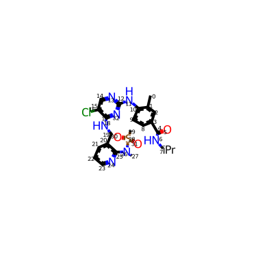 Cc1cc(C(=O)NC(C)C)ccc1Nc1ncc(Cl)c(NCc2cccnc2N(C)S(C)(=O)=O)n1